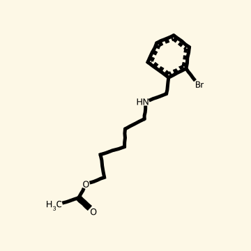 CC(=O)OCCCCCNCc1ccccc1Br